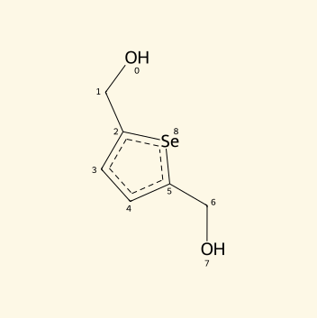 OCc1ccc(CO)[se]1